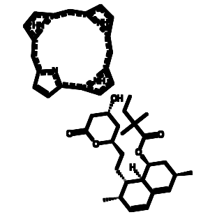 C1=Cc2nc1cc1ccc(cc3ccc(cc4ccc2[nH]4)[nH]3)[nH]1.CCC(C)(C)C(=O)O[C@H]1C[C@@H](C)C=C2C=C[C@H](C)[C@H](CC[C@@H]3C[C@@H](O)CC(=O)O3)[C@H]21